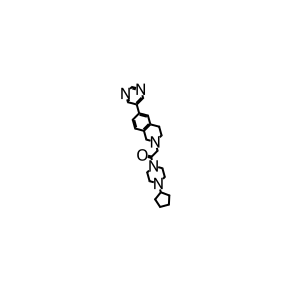 O=C(CN1CCc2cc(-c3cncnc3)ccc2C1)N1CCN(C2CCCC2)CC1